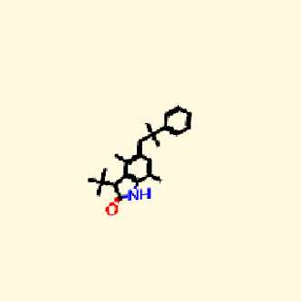 Cc1cc(CC(C)(C)c2ccccc2)c(C)c2c1NC(=O)C2C(C)(C)C